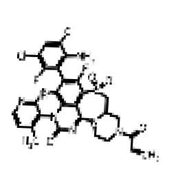 C=CC(=O)N1CCN2c3nc(=O)n(-c4c(C)ccnc4C(C)C)c4c(Cl)c(-c5c(N)c(Cl)cc(Cl)c5F)c(F)c(c34)S(=O)(=O)CC2C1